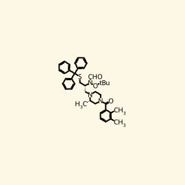 Cc1cccc(C(=O)N2CCN(C[C@H](CSC(c3ccccc3)(c3ccccc3)c3ccccc3)N(C=O)OC(C)(C)C)[C@@H](C)C2)c1C